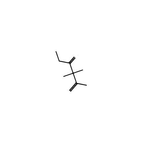 C=C(C)C(C)(C)C(=O)CC